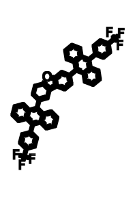 FC(F)(F)c1ccc(-c2c3ccccc3c(C3=Cc4c(oc5cc(-c6c7ccccc7c(-c7ccc(C(F)(F)F)cc7)c7ccccc67)ccc45)CC3)c3ccccc23)cc1